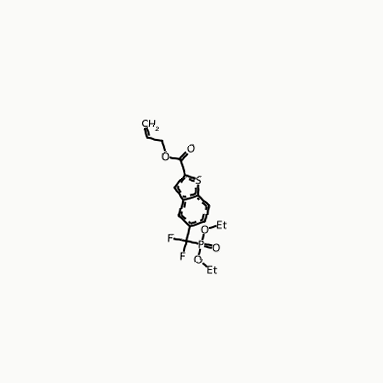 C=CCOC(=O)c1cc2cc(C(F)(F)P(=O)(OCC)OCC)ccc2s1